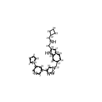 c1ccn(-c2cncc(-c3cn(Cc4ccc5cc(CNCC6CCC6)[nH]c5c4)nn3)c2)c1